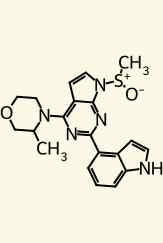 CC1COCCN1c1nc(-c2cccc3[nH]ccc23)nc2c1ccn2[S+](C)[O-]